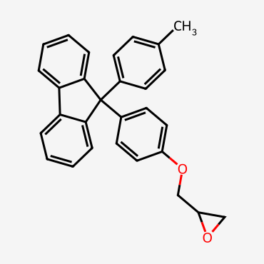 Cc1ccc(C2(c3ccc(OCC4CO4)cc3)c3ccccc3-c3ccccc32)cc1